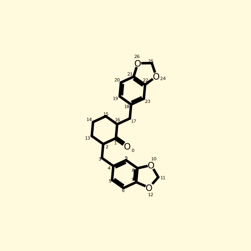 O=C1C(Cc2ccc3c(c2)OCO3)CCCC1Cc1ccc2c(c1)OCO2